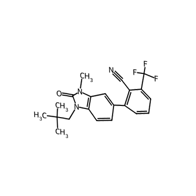 Cn1c(=O)n(CC(C)(C)C)c2ccc(-c3cccc(C(F)(F)F)c3C#N)cc21